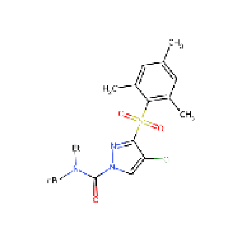 CCCN(CC)C(=O)n1cc(Cl)c(S(=O)(=O)c2c(C)cc(C)cc2C)n1